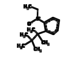 CC[S+]([O-])c1ccccc1C(C)(C)C(C)(C)C